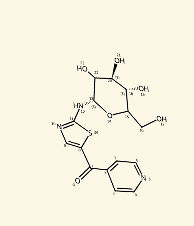 O=C(c1ccncc1)c1cnc(N[C@H]2OC(CO)[C@@H](O)[C@H](O)C2O)s1